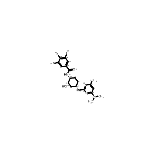 Cc1cc(N(C)C)nc(N[C@H]2CC[C@@H](NC(=O)c3cc(F)c(F)c(F)c3)CC2)n1.Cl